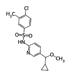 COC(c1ccc(NS(=O)(=O)c2ccc(Cl)c(C)c2)nc1)C1CC1